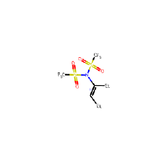 CC/C=C(\CC)N(S(=O)(=O)C(F)(F)F)S(=O)(=O)C(F)(F)F